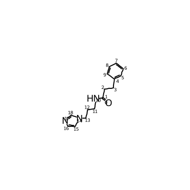 O=C(CCc1ccccc1)NCCCn1ccnc1